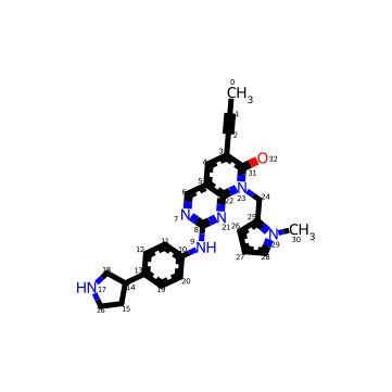 CC#Cc1cc2cnc(Nc3ccc(C4CCNC4)cc3)nc2n(Cc2cccn2C)c1=O